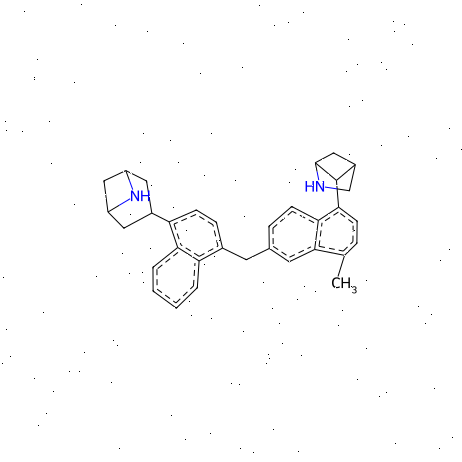 Cc1ccc(C2C3CNC2C3)c2ccc(Cc3ccc(C4CC5CC(C4)N5)c4ccccc34)cc12